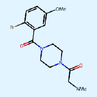 CNCC(=O)N1CCN(C(=O)c2cc(OC)ccc2Br)CC1